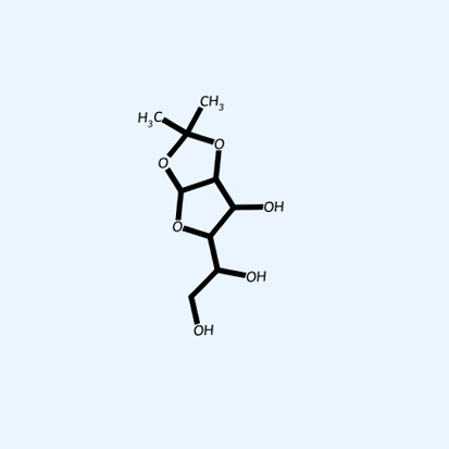 CC1(C)OC2OC(C(O)CO)C(O)C2O1